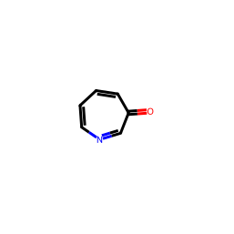 O=c1ccccnc1